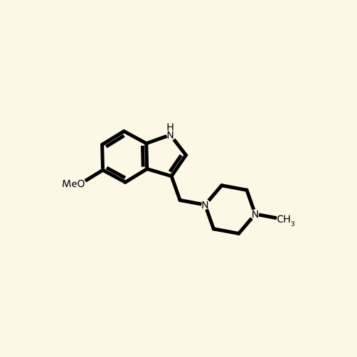 COc1ccc2[nH]cc(CN3CCN(C)CC3)c2c1